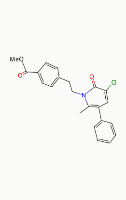 COC(=O)c1ccc(CCn2c(C)c(-c3ccccc3)cc(Cl)c2=O)cc1